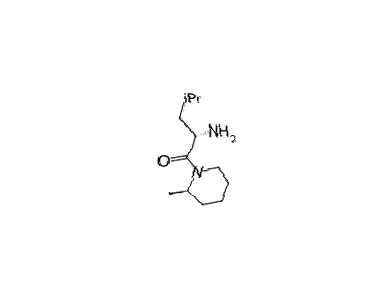 CC(C)C[C@H](N)C(=O)N1CCCC[C@H]1C